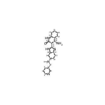 CN(Cc1cccnc1)c1ccc2nc(-c3c(N)c4ccccc4[nH]c3=O)[nH]c2c1